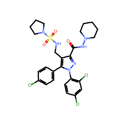 O=C(NN1CCCCC1)c1nn(-c2ccc(Cl)cc2Cl)c(-c2ccc(Cl)cc2)c1CNS(=O)(=O)N1CCCC1